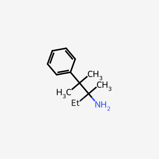 CCC(C)(N)C(C)(C)c1ccccc1